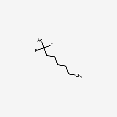 CC(=O)C(F)(F)CCCCCC(F)(F)F